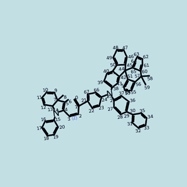 C=C(/C=C\C1=C(C)C2(C)C=CC=CC2N1c1ccccc1)c1ccc(N(c2ccc(-c3ccccc3)cc2)c2ccc3c(c2)C2(c4ccccc4-3)c3ccccc3C(C)(C)c3ccccc32)cc1